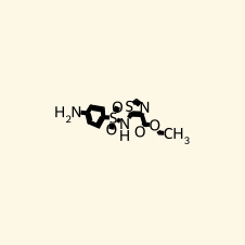 CCOC(=O)c1ncsc1NS(=O)(=O)c1ccc(N)cc1